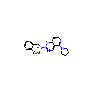 COc1ccccc1CNc1ncc2c(N3CCCC3)nccc2n1